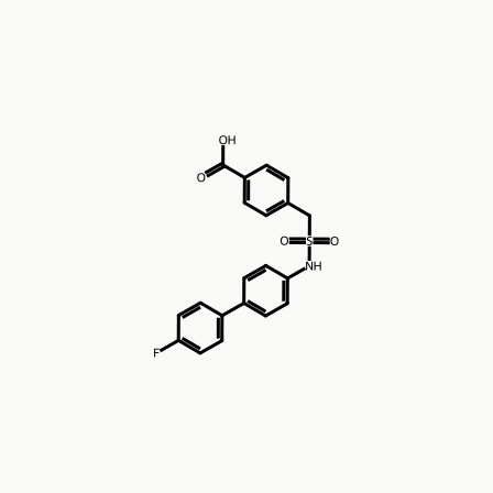 O=C(O)c1ccc(CS(=O)(=O)Nc2ccc(-c3ccc(F)cc3)cc2)cc1